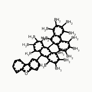 Bc1c(B)c(B)c2c(-c3c(B)c4c(B)c(B)c(B)c(B)c4c4c(B)c(B)c(B)c(B)c34)c3c(B)c(B)c(B)c(B)c3c(-c3ccc4oc5ccccc5c4c3)c2c1B